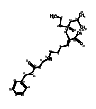 CCOP(=O)(CC(=CCCCNCCC(=O)OCc1ccccc1)C(=O)O)CC(C)C